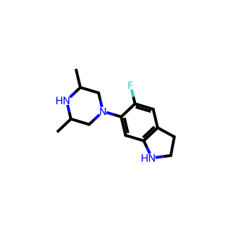 CC1CN(c2cc3c(cc2F)CCN3)CC(C)N1